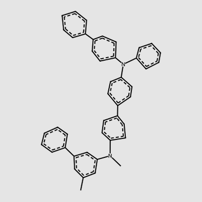 Cc1cc(-c2ccccc2)cc(N(C)c2ccc(-c3ccc(N(c4ccccc4)c4ccc(-c5ccccc5)cc4)cc3)cc2)c1